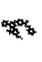 Nc1cc(C(F)(F)F)c(-c2cc(OC3CCN(C(=O)OCc4ccccc4)CC3)nc(N3CCOCC3)n2)cn1